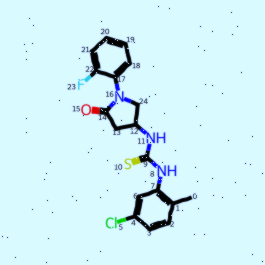 Cc1ccc(Cl)cc1NC(=S)NC1CC(=O)N(c2ccccc2F)C1